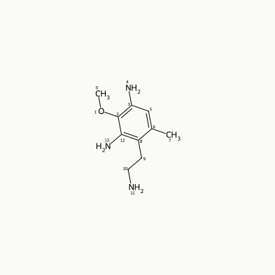 COc1c(N)cc(C)c(CCN)c1N